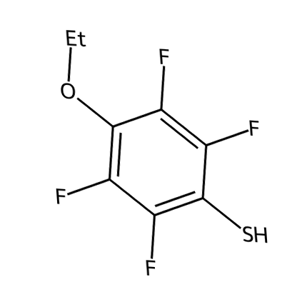 CCOc1c(F)c(F)c(S)c(F)c1F